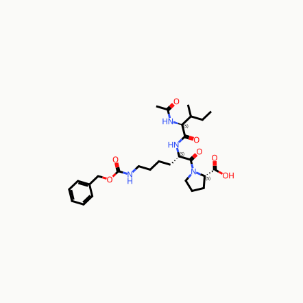 CCC(C)[C@H](NC(C)=O)C(=O)N[C@@H](CCCCNC(=O)OCc1ccccc1)C(=O)N1CCC[C@H]1C(=O)O